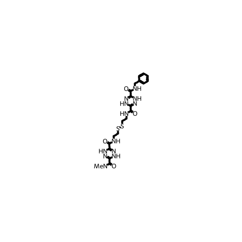 CNC(=O)C1=NNC(C(=O)NCCSSCCNC(=O)C2=NNC(C(=O)NCc3ccccc3)=NN2)=NN1